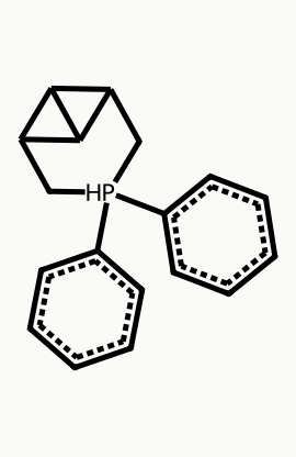 c1ccc([PH]2(c3ccccc3)CC3C4C(C2)C34)cc1